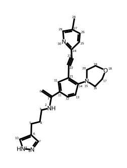 C=C(NCCCc1cn[nH]c1)c1ccc(N2CCOCC2)c(C#Cc2ccc(C)cn2)c1